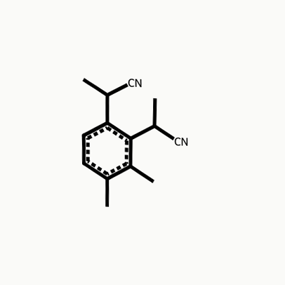 Cc1ccc(C(C)C#N)c(C(C)C#N)c1C